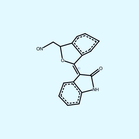 O=NCC1O/C(=C2/C(=O)Nc3ccccc32)c2ccccc21